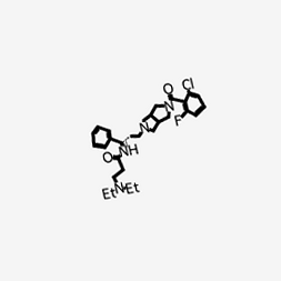 CCN(CC)CCC(=O)N[C@@H](CCN1CC2CN(C(=O)c3c(F)cccc3Cl)CC2C1)c1ccccc1